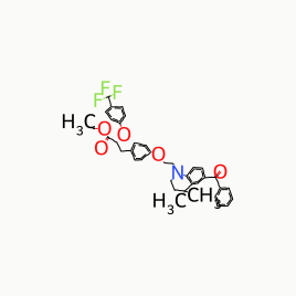 CCOC(=O)C(Cc1ccc(OCCN2CCC(C)(C)c3cc(C(=O)c4ccccc4)ccc32)cc1)Oc1ccc(C(F)(F)F)cc1